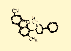 Cc1ccc2c(oc3cc(C#N)ccc32)c1-c1ccc(-c2ccccc2)c[n+]1C